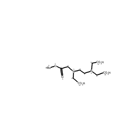 CCCCOC(=O)CN(CCN(CC(=O)O)CC(=O)O)CC(=O)O